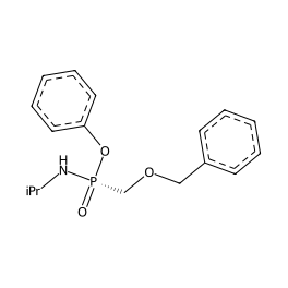 CC(C)N[P@@](=O)(COCc1ccccc1)Oc1ccccc1